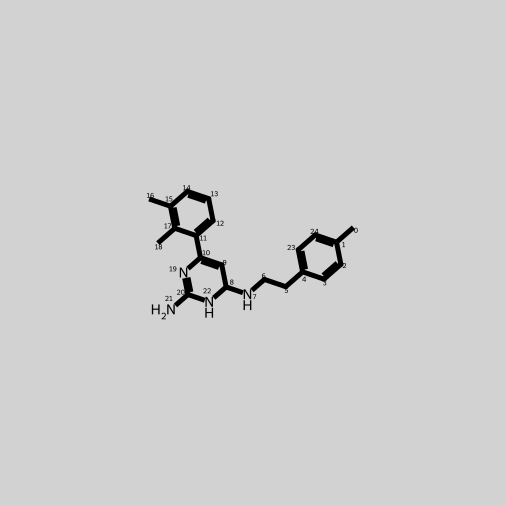 Cc1ccc(CCNC2C=C(c3cccc(C)c3C)N=C(N)N2)cc1